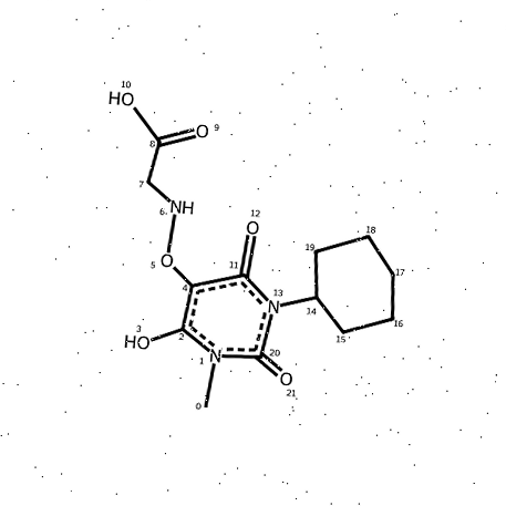 Cn1c(O)c(ONCC(=O)O)c(=O)n(C2CCCCC2)c1=O